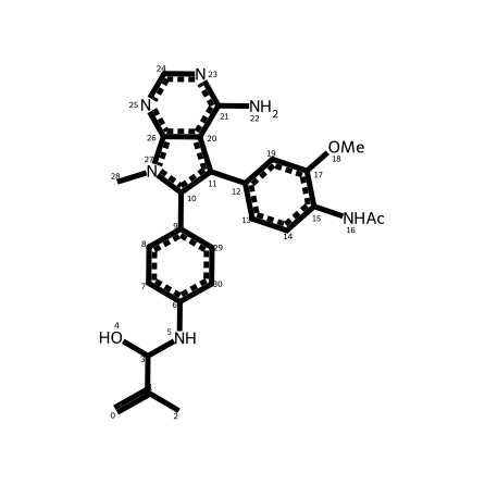 C=C(C)C(O)Nc1ccc(-c2c(-c3ccc(NC(C)=O)c(OC)c3)c3c(N)ncnc3n2C)cc1